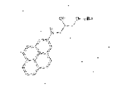 CCCCOCC(O)CNc1cc2ccc3cccc4ccc(c1)c2c34